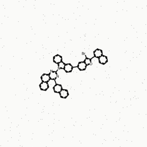 Brc1c(-c2cccc3ccccc23)oc2ccc(-c3ccc4c(c3)c3ccccc3n4-c3nc(-c4ccc5ccccc5c4)c4c(ccc5ccccc54)n3)cc12